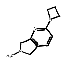 CN1Cc2ccc(N3CCC3)nc2C1